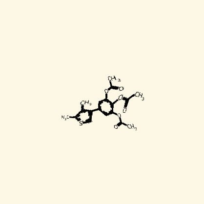 CC(=O)Oc1cc(-c2[c]sc(C)c2C)cc(OC(C)=O)c1OC(C)=O